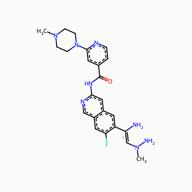 CN(N)/C=C(\N)c1cc2cc(NC(=O)c3ccnc(N4CCN(C)CC4)c3)ncc2cc1F